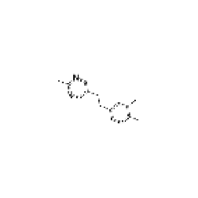 Cc1ncc(CCc2ccc(C)c(C)c2)cn1